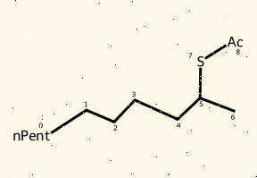 CCCCCCCCCC(C)SC(C)=O